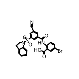 N#Cc1cc(C(=O)Nc2ccc(Br)cc2C(=O)O)cc(S(=O)(=O)N2CCc3ccccc32)c1